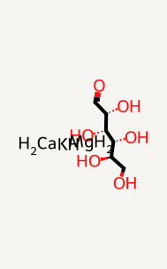 O=C[C@H](O)[C@@H](O)[C@H](O)[C@H](O)CO.[CaH2].[KH].[MgH2]